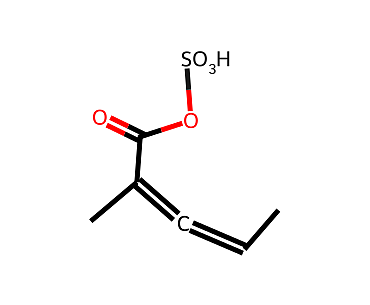 CC=C=C(C)C(=O)OS(=O)(=O)O